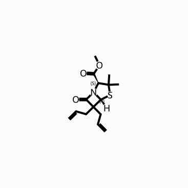 C=CCC1(CC=C)C(=O)N2[C@@H](C(=O)OC)C(C)(C)S[C@@H]21